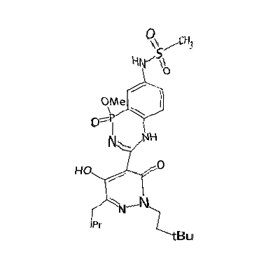 COP1(=O)N=C(c2c(O)c(CC(C)C)nn(CCC(C)(C)C)c2=O)Nc2ccc(NS(C)(=O)=O)cc21